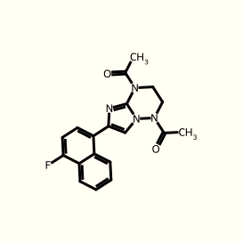 CC(=O)N1CCN(C(C)=O)n2cc(-c3ccc(F)c4ccccc34)nc21